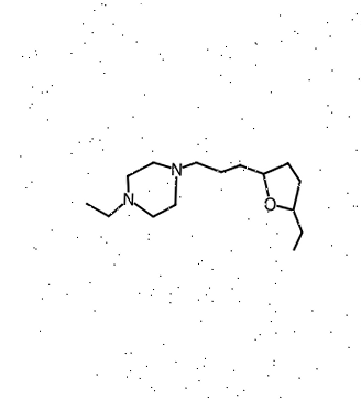 CCC1CCC(CCCN2CCN(CC)CC2)O1